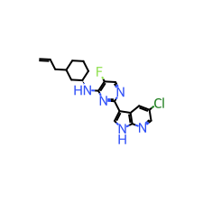 C=CCC1CCC[C@H](Nc2nc(-c3c[nH]c4ncc(Cl)cc34)ncc2F)C1